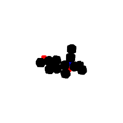 CC1(C)c2ccccc2-c2ccc(N(c3ccc(-c4ccccc4)cc3)c3ccc(-c4cccc5c4-c4ccccc4C54c5ccccc5-c5c4ccc4oc6ccccc6c54)c4c3oc3ccccc34)cc21